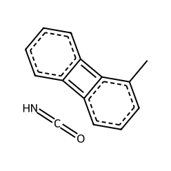 Cc1cccc2c1=c1ccccc1=2.N=C=O